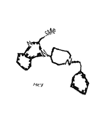 CSc1nc2ccccc2n1C1CCN(Cc2ccccc2)CC1.Cl